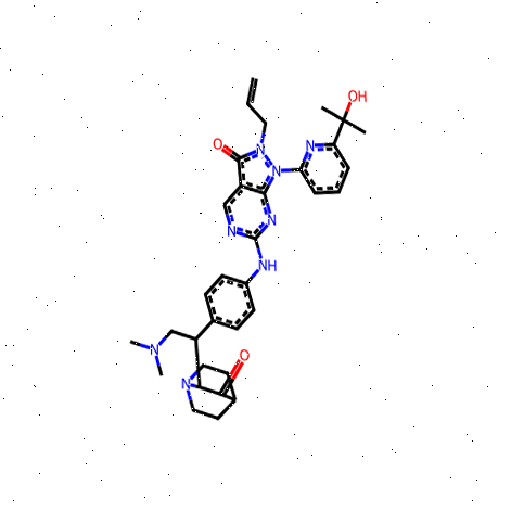 C=CCn1c(=O)c2cnc(Nc3ccc(C(CN(C)C)C4C(=O)C5CCN4CC5)cc3)nc2n1-c1cccc(C(C)(C)O)n1